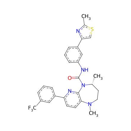 Cc1nc(-c2cccc(NC(=O)N3c4nc(-c5cccc(C(F)(F)F)c5)ccc4N(C)CC[C@H]3C)c2)cs1